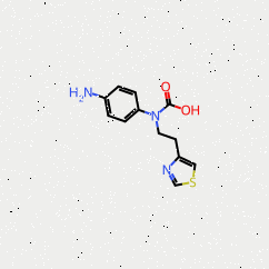 Nc1ccc(N(CCc2cscn2)C(=O)O)cc1